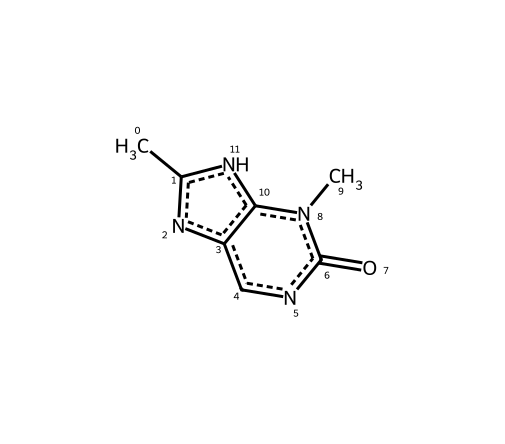 Cc1nc2cnc(=O)n(C)c2[nH]1